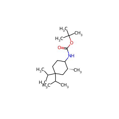 CC(C)C1(C(C)C)CCC(NC(=O)OC(C)(C)C)[C@H](C)C1